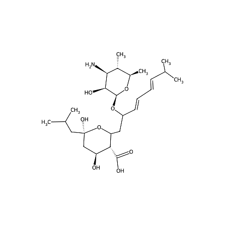 CC(C)/C=C/C=C/C(CC1O[C@](O)(CC(C)C)C[C@H](O)[C@H]1C(=O)O)O[C@@H]1O[C@H](C)[C@@H](C)[C@H](N)[C@@H]1O